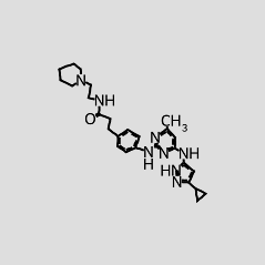 Cc1cc(Nc2cc(C3CC3)n[nH]2)nc(Nc2ccc(CCC(=O)NCCN3CCCCC3)cc2)n1